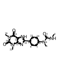 CNC(=O)N(C)c1ccc(-c2nc3c([nH]2)c(=O)n(C)c(=O)n3C)cc1